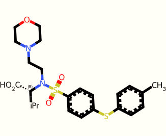 Cc1ccc(Sc2ccc(S(=O)(=O)N(CCN3CCOCC3)[C@@H](C(=O)O)C(C)C)cc2)cc1